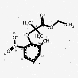 CCOC(=O)C(C)(C)Oc1c(C)cccc1[N+](=O)[O-]